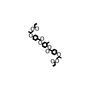 C=CC(=O)OCC(C)Oc1ccc(C(=O)Oc2ccc(OC(=O)c3ccc(OC(C)COC(=O)C=C)cc3)c(C)c2)cc1